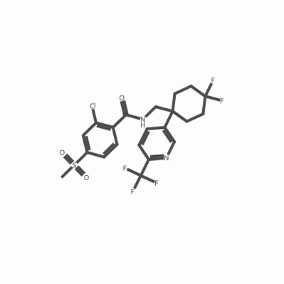 CS(=O)(=O)c1ccc(C(=O)NCC2(c3ccc(C(F)(F)F)nc3)CCC(F)(F)CC2)c(Cl)c1